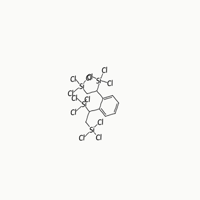 Cl[Si](Cl)(Cl)CC(c1ccccc1C(C[Si](Cl)(Cl)Cl)[Si](Cl)(Cl)Cl)[Si](Cl)(Cl)Cl